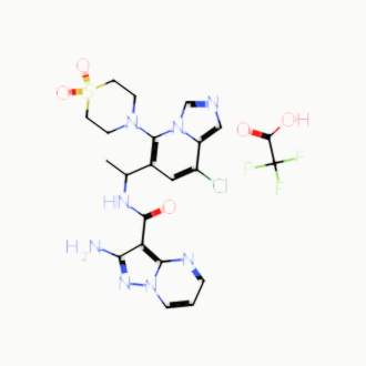 CC(NC(=O)c1c(N)nn2cccnc12)c1cc(Cl)c2cncn2c1N1CCS(=O)(=O)CC1.O=C(O)C(F)(F)F